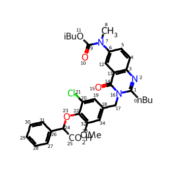 CCCCc1nc2ccc(N(C)C(=O)OCC(C)C)cc2c(=O)n1Cc1cc(Cl)c(OC(C(=O)O)c2ccccc2)c(OC)c1